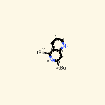 CC(C)(C)c1cc2ncccc2c(C(C)(C)C)n1